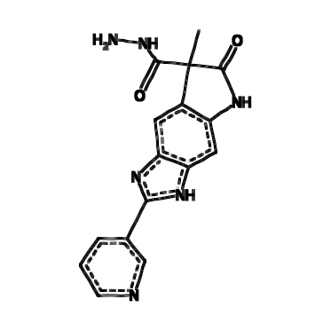 CC1(C(=O)NN)C(=O)Nc2cc3[nH]c(-c4cccnc4)nc3cc21